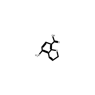 Nc1ccc(C(=O)O)c2c1C=CCO2